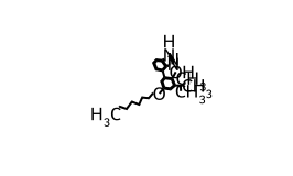 CCCCCCCCOc1cc(-c2cccc3[nH]nnc23)c(O)c(C(C)(C)C)c1